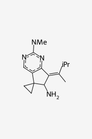 CNc1ncc2c(n1)/C(=C(/C)C(C)C)C(N)C21CC1